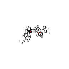 CC(C)OC(=O)C(C)NP(=O)(OCC12CO[C@@H](C(n3cnc4c(N)ncnc43)O1)[C@@H]2O)Oc1ccccc1